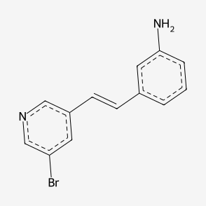 Nc1cccc(/C=C/c2cncc(Br)c2)c1